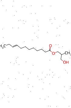 CCC=CCCCCCCCC(=O)OCC(C)CO